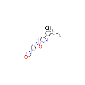 Cc1cc(C)cc(-c2ccc(C(=O)Nc3ccc(N4CCOCC4)cc3)cn2)c1